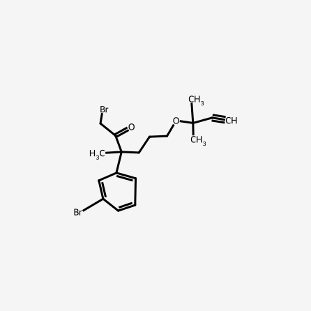 C#CC(C)(C)OCCCC(C)(C(=O)CBr)c1cccc(Br)c1